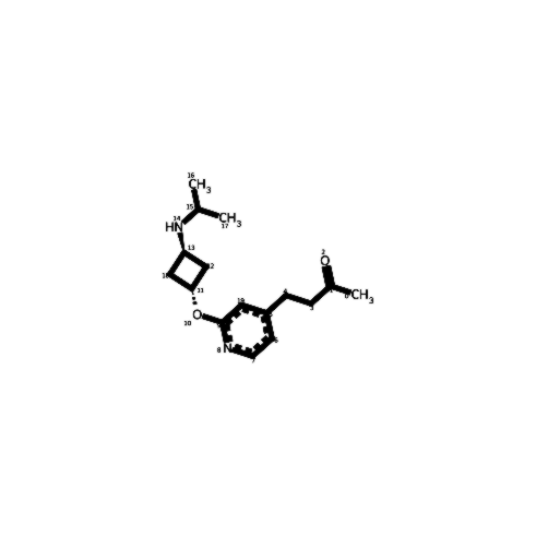 CC(=O)CCc1ccnc(O[C@H]2C[C@H](NC(C)C)C2)c1